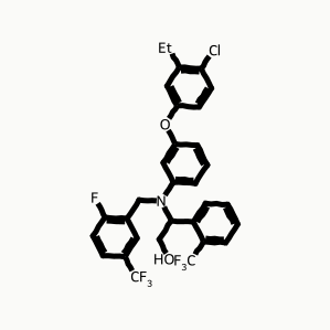 CCc1cc(Oc2cccc(N(Cc3cc(C(F)(F)F)ccc3F)C(CO)c3ccccc3C(F)(F)F)c2)ccc1Cl